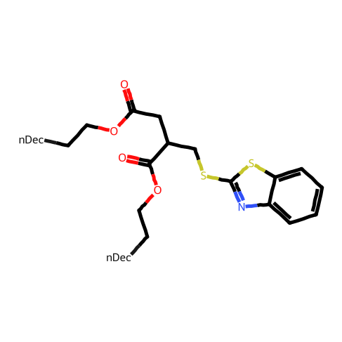 CCCCCCCCCCCCOC(=O)CC(CSc1nc2ccccc2s1)C(=O)OCCCCCCCCCCCC